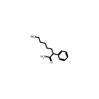 N#CCCCCCC(C(N)=O)c1ccccc1